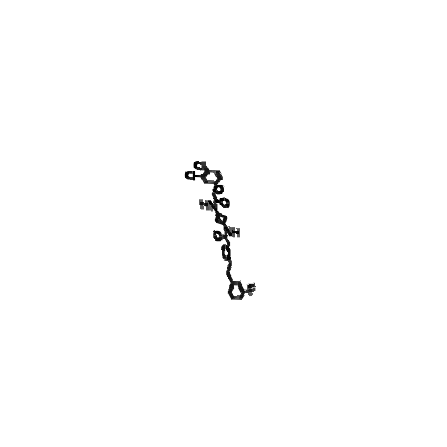 O=C(COCCc1cccc(F)c1)NC12CC(NC(=O)COc3ccc(Cl)c(Cl)c3)(C1)C2